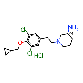 Cl.N[C@H]1CCCN(CCc2cc(Cl)c(OCC3CC3)c(Cl)c2)C1